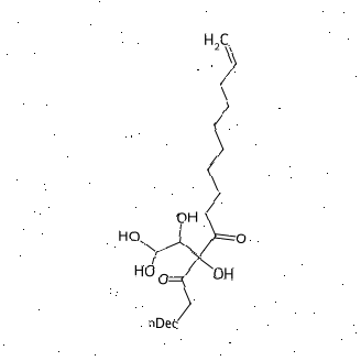 C=CCCCCCCCC(=O)C(O)(C(=O)CCCCCCCCCCC)C(O)C(O)O